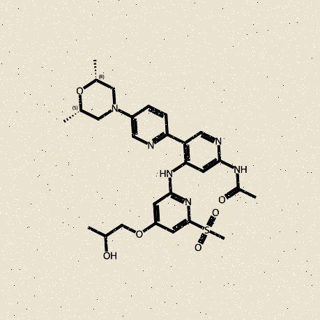 CC(=O)Nc1cc(Nc2cc(OCC(C)O)cc(S(C)(=O)=O)n2)c(-c2ccc(N3C[C@@H](C)O[C@@H](C)C3)cn2)cn1